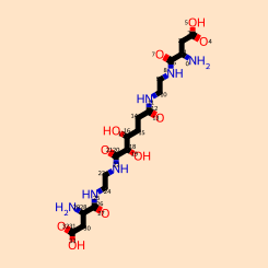 NC(CC(=O)O)C(=O)NCCNC(=O)CCC(O)C(O)C(=O)NCCNC(=O)C(N)CC(=O)O